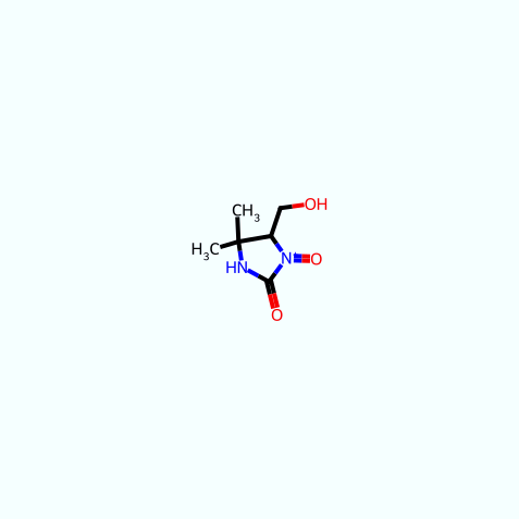 CC1(C)NC(=O)[N+](=O)C1CO